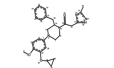 COc1ccc(N2CCN(C(=O)Cc3nc(C)n[nH]3)C(Cc3ccccc3)C2)cc1OC1CC1